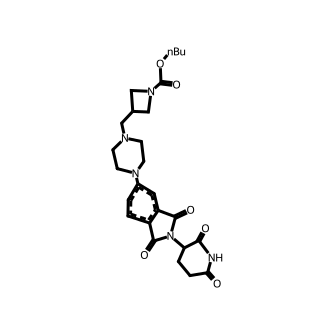 CCCCOC(=O)N1CC(CN2CCN(c3ccc4c(c3)C(=O)N(C3CCC(=O)NC3=O)C4=O)CC2)C1